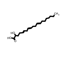 CCCCCCCC=CCCC=CCC=CCCC(O)C(=O)O